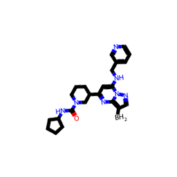 Bc1cnn2c(NCc3cccnc3)cc(C3CCCN(C(=O)NC4CCCC4)C3)nc12